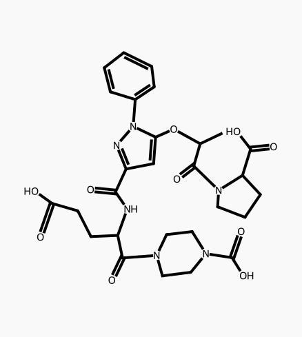 CC(Oc1cc(C(=O)NC(CCC(=O)O)C(=O)N2CCN(C(=O)O)CC2)nn1-c1ccccc1)C(=O)N1CCCC1C(=O)O